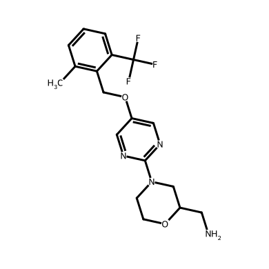 Cc1cccc(C(F)(F)F)c1COc1cnc(N2CCOC(CN)C2)nc1